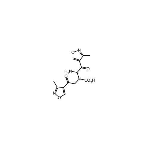 Cc1nocc1C(=O)CN(C(=O)O)C(N)C(=O)c1conc1C